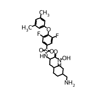 Cc1cc(C)cc(Oc2c(F)cc(S(=O)(=O)NC(CC3CCC(CN)CC3)C(=O)NO)cc2F)c1